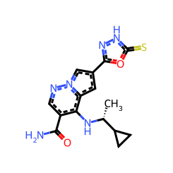 C[C@@H](Nc1c(C(N)=O)cnn2cc(-c3n[nH]c(=S)o3)cc12)C1CC1